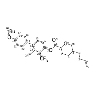 C=CCCC1CCC(C(=O)Oc2ccc(-c3ccc(OCCCC)cc3)c(F)c2C(F)(F)F)OC1